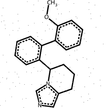 COc1ccccc1-c1ccccc1C1CCCc2cncn21